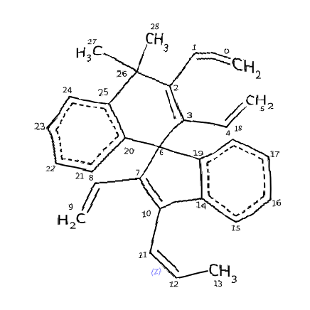 C=CC1=C(C=C)C2(C(C=C)=C(/C=C\C)c3ccccc32)c2ccccc2C1(C)C